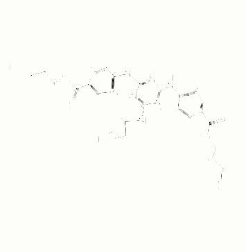 CCCCOC(=O)c1ccc(Nc2nc(NCCC)nc(Nc3ccc(C(=O)OCCCC)cc3)n2)cc1